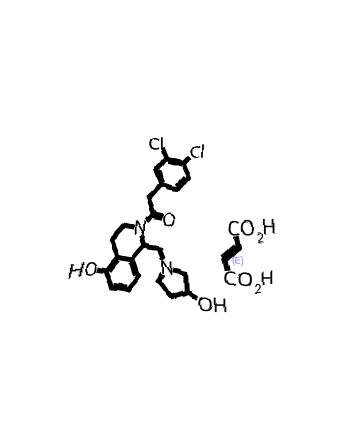 O=C(Cc1ccc(Cl)c(Cl)c1)N1CCc2c(O)cccc2C1CN1CCC(O)C1.O=C(O)/C=C/C(=O)O